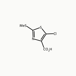 CSc1nc(C(=O)O)c(Cl)s1